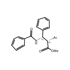 COC(=O)[C@@H](C(C)=O)[C@H](NC(=O)c1ccccc1)c1ccccc1